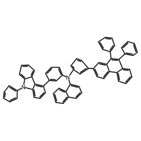 c1ccc(-c2c(-c3ccccc3)c3cc(-c4cccc(N(c5cccc(-c6cccc7c6c6ccccc6n7-c6ccccc6)c5)c5cccc6ccccc56)c4)ccc3c3ccccc23)cc1